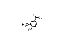 CCC(=O)c1ccc(CC)c(C)c1